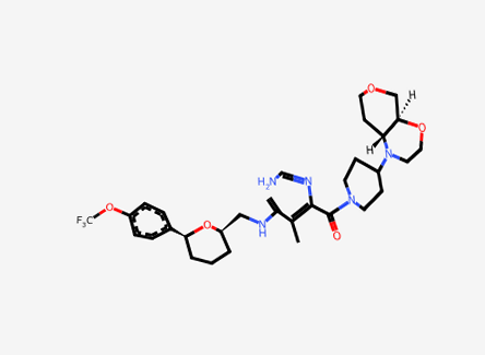 C=C(NC[C@H]1CCC[C@@H](c2ccc(OC(F)(F)F)cc2)O1)/C(C)=C(\N=C/N)C(=O)N1CCC(N2CCO[C@@H]3COCC[C@H]32)CC1